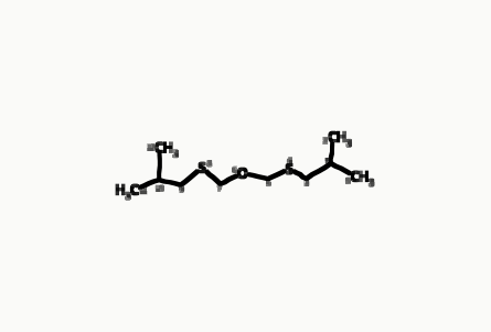 CC(C)CSCOCSCC(C)C